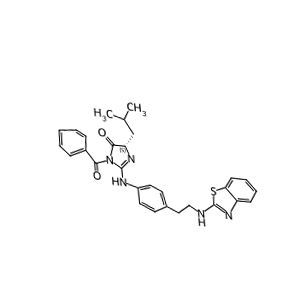 CC(C)C[C@@H]1N=C(Nc2ccc(CCNc3nc4ccccc4s3)cc2)N(C(=O)c2ccccc2)C1=O